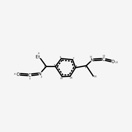 CCC(N=C=O)c1ccc(C(C)N=C=O)cc1